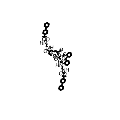 CC(C)(OC(=O)NCCNC(=O)OC[C@@]1(C)[C@H](C(=O)OC(c2ccccc2)c2ccccc2)N2C(=O)/C(=C/c3cc(C(=O)NCCNC(=O)OC(C)(C)c4ccc(-c5ccccc5)cc4)ccn3)C2S1(=O)=O)c1ccc(-c2ccccc2)cc1